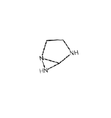 C1CN2NC2N1